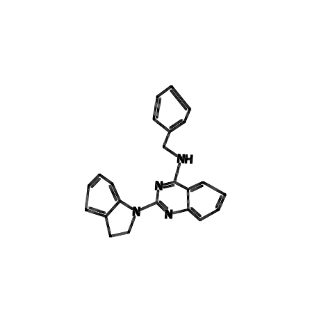 c1ccc(CNc2nc(N3CCc4ccccc43)nc3ccccc23)cc1